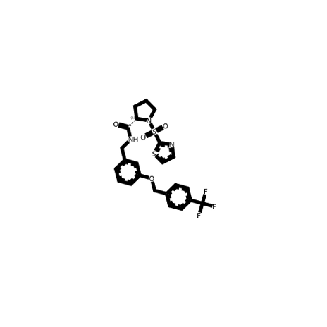 O=C(NCc1cccc(OCc2ccc(C(F)(F)F)cc2)c1)[C@@H]1CCCN1S(=O)(=O)c1nccs1